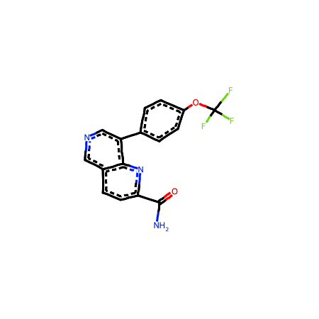 NC(=O)c1ccc2cncc(-c3ccc(OC(F)(F)F)cc3)c2n1